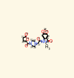 CC(=O)c1cc2c(cc1NC(=O)CN1CCN(C(=O)[C@H]3CCC(=O)O3)CC1)OCO2